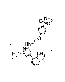 Cc1c(Cl)cccc1-c1cc(NCCOc2ccc(S(N)(=O)=O)cc2)nc(N)n1